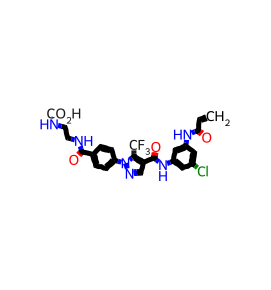 C=CC(=O)Nc1cc(Cl)cc(NC(=O)c2cnn(-c3ccc(C(=O)NCCNC(=O)O)cc3)c2C(F)(F)F)c1